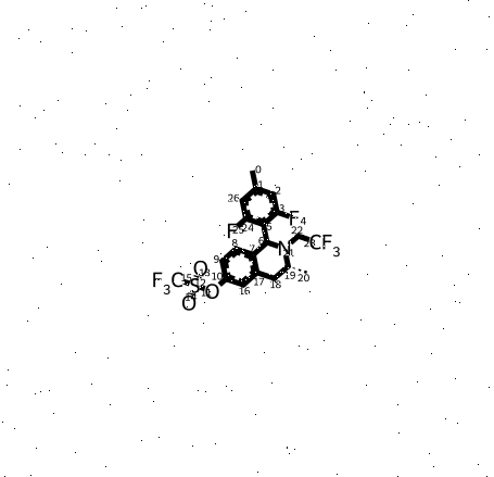 Cc1cc(F)c(C2c3ccc(OS(=O)(=O)C(F)(F)F)cc3C[C@@H](C)N2CC(F)(F)F)c(F)c1